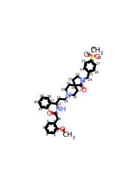 COc1ccccc1CC(=O)NC(CCN1CCC2(CC1)CCN(Cc1ccc(S(C)(=O)=O)cc1)C2=O)c1ccccc1